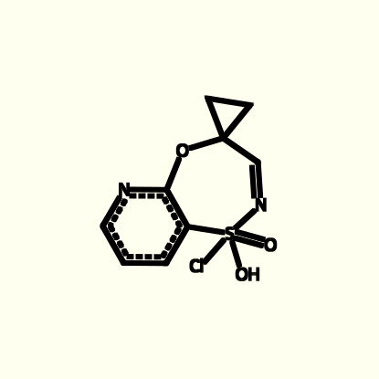 O=S1(O)(Cl)N=CC2(CC2)Oc2ncccc21